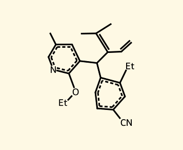 C=CC(=C(C)C)C(c1ccc(C#N)cc1CC)c1cc(C)cnc1OCC